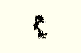 COc1ccc(C(=O)OCC#Cc2cn([C@H]3C[C@@H](OCN=[N+]=[N-])[C@@H](COP(=O)(O)OP(=O)(O)OP(=O)(O)O)O3)c(=O)nc2N)c(CN=[N+]=[N-])c1